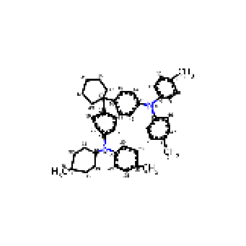 Cc1ccc(N(c2ccc(C)cc2)c2ccc(C3(c4ccc(N(c5ccc(C)cc5)C5CCC(C)CC5)cc4)CCCCC3)cc2)cc1